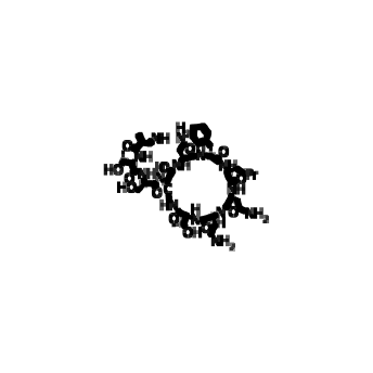 C=C(C=N)C(=O)N[C@H](C(=O)N[C@H](CO)C(=O)N[C@H]1CCNC(=O)[C@H]([C@@H](C)O)NC(=O)[C@H](CCN)NC(=O)[C@H](CCN)NC(=O)[C@H](CC(C)C)NC(=O)[C@@H](Cc2ccccc2)NC(=O)[C@H](CCN)NC1=O)[C@@H](C)O